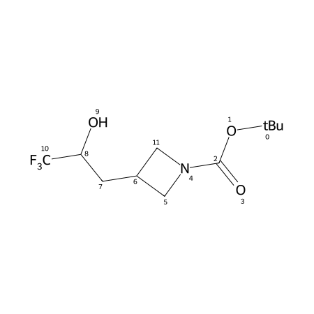 CC(C)(C)OC(=O)N1CC(CC(O)C(F)(F)F)C1